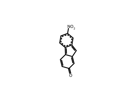 O=C1C=CC2=c3ccc([N+](=O)[O-])cc3=CC2=C1